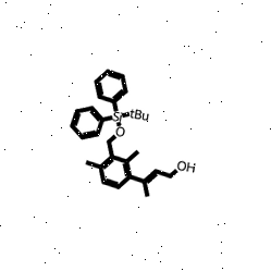 CC(=CCO)c1ccc(C)c(CO[Si](c2ccccc2)(c2ccccc2)C(C)(C)C)c1C